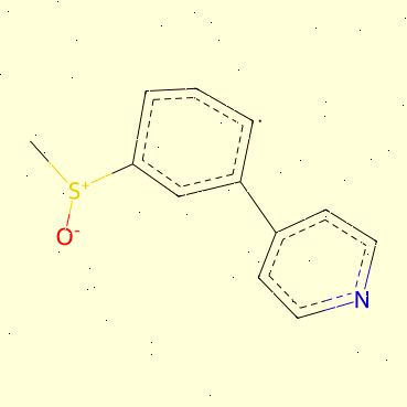 C[S+]([O-])c1cc[c]c(-c2ccncc2)c1